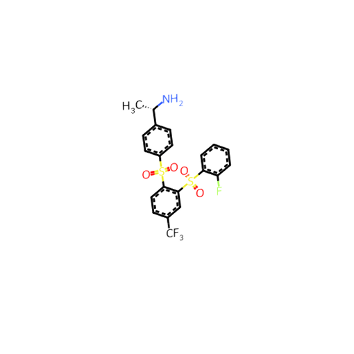 C[C@H](N)c1ccc(S(=O)(=O)c2ccc(C(F)(F)F)cc2S(=O)(=O)c2ccccc2F)cc1